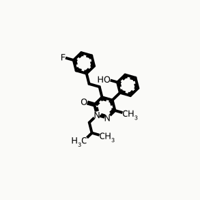 Cc1nn(CC(C)C)c(=O)c(CCc2cccc(F)c2)c1-c1ccccc1O